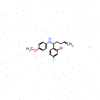 C=CCCC(Nc1ccc(OC)cc1)c1ccc(F)cc1Br